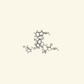 CN1CCC[C@H]1COc1nc(N2CCN(C(=O)CN)CC(F)(F)C2)c2cc(Cl)c(-c3cccc4sc(N)nc34)c(F)c2n1